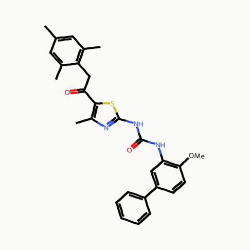 COc1ccc(-c2ccccc2)cc1NC(=O)Nc1nc(C)c(C(=O)Cc2c(C)cc(C)cc2C)s1